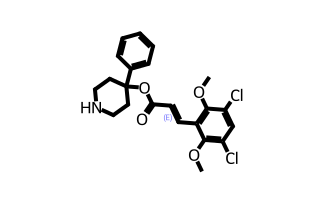 COc1c(Cl)cc(Cl)c(OC)c1/C=C/C(=O)OC1(c2ccccc2)CCNCC1